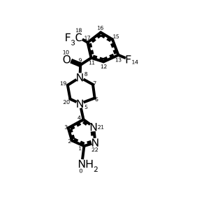 Nc1ccc(N2CCN(C(=O)c3cc(F)ccc3C(F)(F)F)CC2)nn1